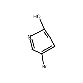 Oc1ccc(Br)[c]n1